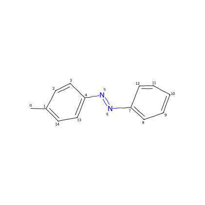 Cc1ccc(/N=N/c2ccccc2)cc1